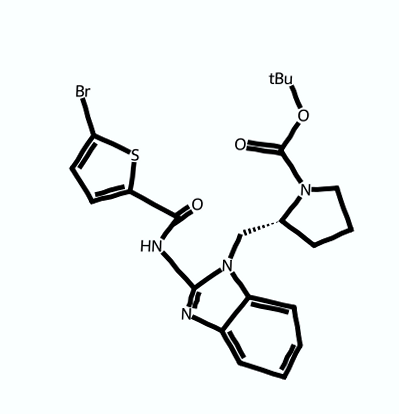 CC(C)(C)OC(=O)N1CCC[C@@H]1Cn1c(NC(=O)c2ccc(Br)s2)nc2ccccc21